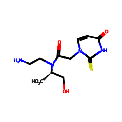 NCCN(C(=O)Cn1ccc(=O)[nH]c1=S)[C@H](CO)C(=O)O